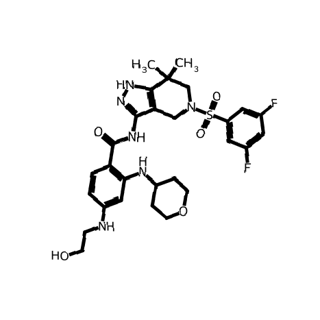 CC1(C)CN(S(=O)(=O)c2cc(F)cc(F)c2)Cc2c(NC(=O)c3ccc(NCCO)cc3NC3CCOCC3)n[nH]c21